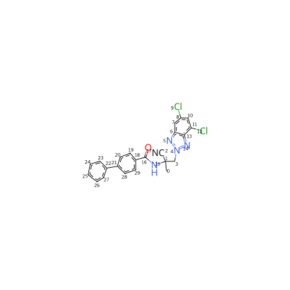 CC(C#N)(Cn1nc2cc(Cl)cc(Cl)c2n1)NC(=O)c1ccc(-c2ccccc2)cc1